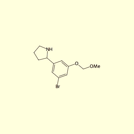 COCOc1cc(Br)cc(C2CCCN2)c1